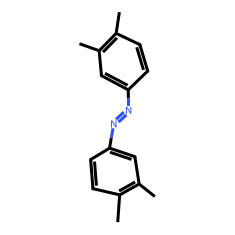 Cc1ccc(N=Nc2ccc(C)c(C)c2)cc1C